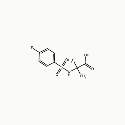 CC(C)(NS(=O)(=O)c1ccc(F)cc1)C(=O)O